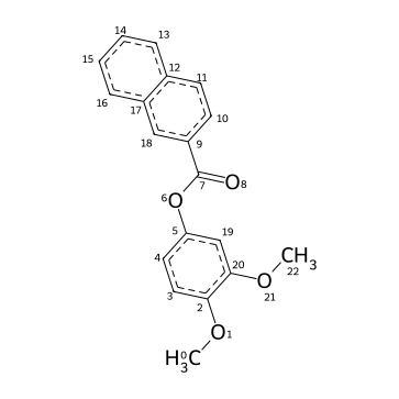 COc1ccc(OC(=O)c2ccc3ccccc3c2)cc1OC